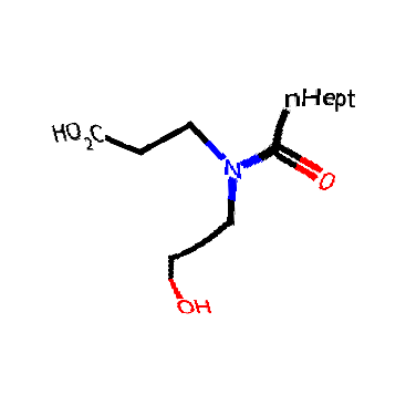 CCCCCCCC(=O)N(CCO)CCC(=O)O